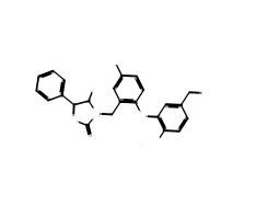 CCOC(=O)Cc1ccc(OC)c(Oc2ccc(Cl)cc2CN2C(=O)OC(c3ccccc3)C2C)c1